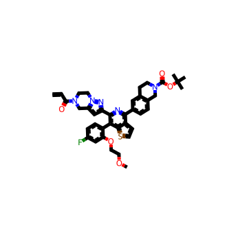 C=CC(=O)N1CCn2nc(-c3nc(-c4ccc5c(c4)CCN(C(=O)OC(C)(C)C)C5)c4ccsc4c3-c3ccc(F)cc3OCCOC)cc2C1